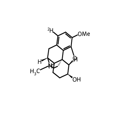 [2H]c1cc(OC)c2c3c1C[C@@H]1[C@@H]4CC[C@H](O)[C@H](O2)[C@]34CCN1C